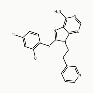 Nc1ncnc2c1nc(Sc1ccc(Cl)cc1Cl)n2CCc1cccnc1